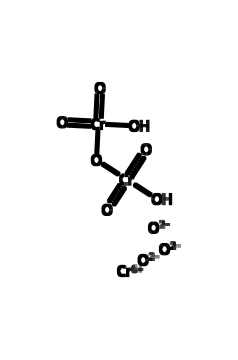 [Cr+6].[O-2].[O-2].[O-2].[O]=[Cr](=[O])([OH])[O][Cr](=[O])(=[O])[OH]